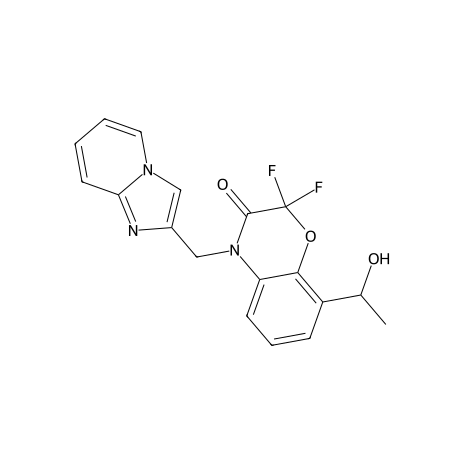 CC(O)c1cccc2c1OC(F)(F)C(=O)N2Cc1cn2ccccc2n1